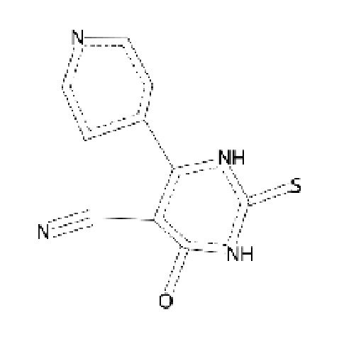 N#Cc1c(-c2ccncc2)[nH]c(=S)[nH]c1=O